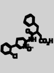 O=C(O)CC(Cc1ccccc1)C(=O)Nc1ccc(-c2ccccc2Cl)c[n+]1[O-]